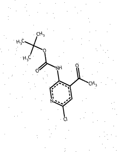 CC(=O)c1cc(Cl)ncc1NC(=O)OC(C)(C)C